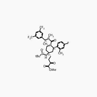 COC(=O)C(=O)CC[C@]1(N[S+]([O-])C(C)(C)C)CCN(C(=O)N(C)[C@H](C)c2cc(C(F)(F)F)cc(C(F)(F)F)c2)[C@@H](c2ccc(F)cc2C)C1